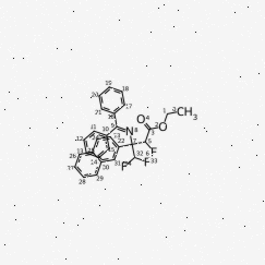 CCOC(=O)C(F)C(N=C(c1ccccc1)c1ccccc1)(c1ccc2ccccc2c1)C(F)F